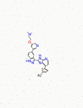 CC(=O)c1ccc(-c2ccnc3[nH]c(-c4n[nH]c5ccc(-c6cncc(OCCN(C)C)c6)cc45)nc23)s1